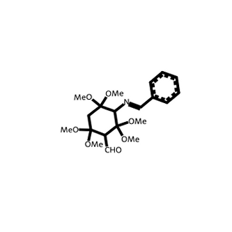 COC1(OC)CC(OC)(OC)C(N=Cc2ccccc2)C(OC)(OC)C1C=O